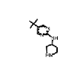 CC(C)(C)c1cnc(NC2CCNCC2)nc1